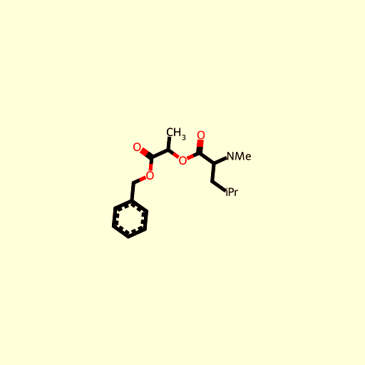 CNC(CC(C)C)C(=O)OC(C)C(=O)OCc1ccccc1